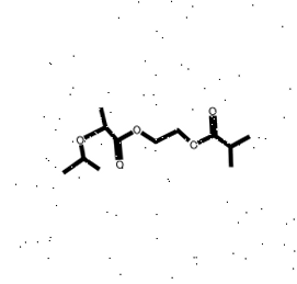 CC(C)OC(C)C(=O)OCCOC(=O)C(C)C